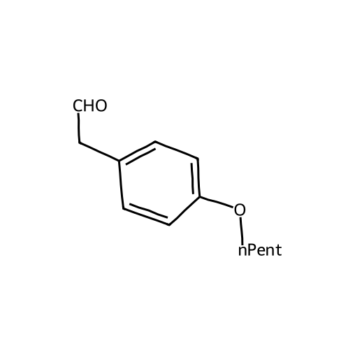 CCCCCOc1ccc(CC=O)cc1